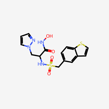 O=C(NO)C(Cn1cccn1)NS(=O)(=O)Cc1ccc2sccc2c1